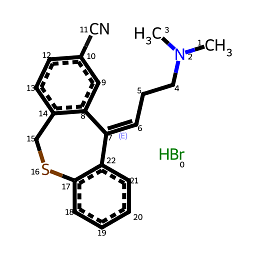 Br.CN(C)CC/C=C1\c2cc(C#N)ccc2CSc2ccccc21